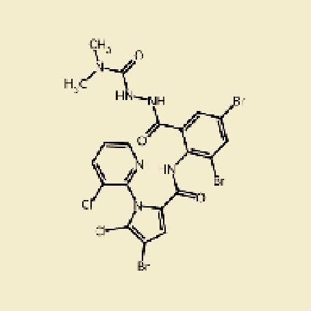 CN(C)C(=O)NNC(=O)c1cc(Br)cc(Br)c1NC(=O)c1cc(Br)c(Cl)n1-c1ncccc1Cl